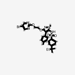 CCC(C)(C)c1ccc(S(=O)(=O)Nc2c(-c3ccc(C)cc3)c(OCCOc3ncc(Br)cn3)nn2C)cc1